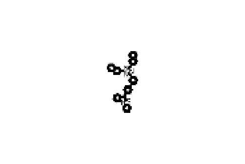 c1cc(-c2ccc(-c3c4ccccc4n4c3sc3ccccc34)cc2)cc(-c2nc(-c3ccc4ccccc4c3)nc(-c3ccc4ccccc4c3)n2)c1